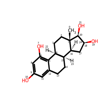 C[C@]12CC[C@@H]3c4c(O)cc(O)cc4CC[C@@H]3[C@@H]1C[C@H](O)[C@@H]2O